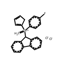 [CH2]=[Zr+2]([C]1=CC=CC1)([c]1ccc(F)cc1)[CH]1c2ccccc2-c2ccccc21.[Cl-].[Cl-]